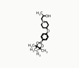 C[C@@H](O)CN1CCC(Oc2ccc(B3OC(C)(C)C(C)(C)O3)cc2)CC1